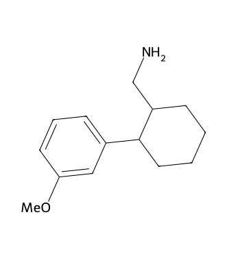 COc1cccc(C2CCCCC2CN)c1